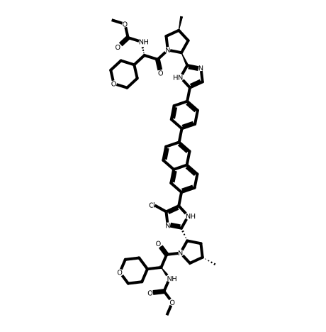 COC(=O)N[C@H](C(=O)N1C[C@@H](C)C[C@H]1c1ncc(-c2ccc(-c3ccc4cc(-c5[nH]c([C@@H]6C[C@H](C)CN6C(=O)[C@@H](NC(=O)OC)C6CCOCC6)nc5Cl)ccc4c3)cc2)[nH]1)C1CCOCC1